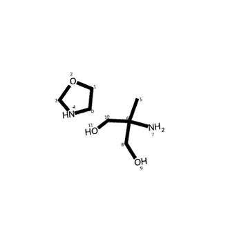 C1COCN1.CC(N)(CO)CO